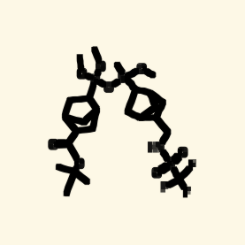 CO[Si](C)(O[Si](OC)(OC)C1CC2CC1CC2C(=O)OC(C)(C)C)C1CC2CC1CC2CNS(=O)(=O)C(F)(F)F